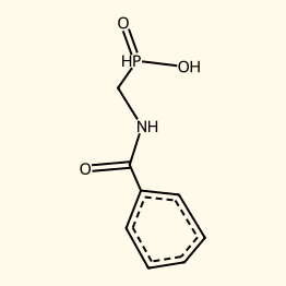 O=C(NC[PH](=O)O)c1ccccc1